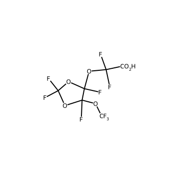 O=C(O)C(F)(F)OC1(F)OC(F)(F)OC1(F)OC(F)(F)F